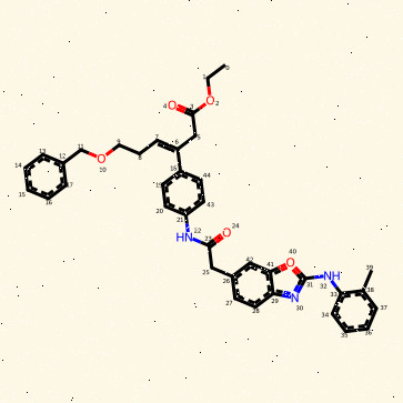 CCOC(=O)C/C(=C/CCOCc1ccccc1)c1ccc(NC(=O)Cc2ccc3nc(Nc4ccccc4C)oc3c2)cc1